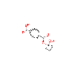 O=C(O)c1ccc(C(=O)OC2(O)CCC2)cc1